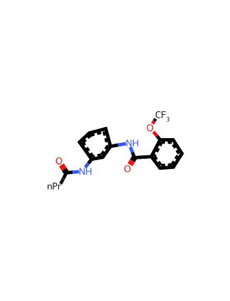 CCCC(=O)Nc1cccc(NC(=O)c2ccccc2OC(F)(F)F)c1